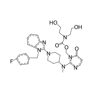 CN(c1nccc(=O)n1COC(=O)N(CCO)CCO)C1CCN(c2nc3ccccc3n2Cc2ccc(F)cc2)CC1